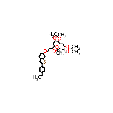 C=C(C)C(=O)OCCCC1OC(C)(C)OC1CC1OC(C)(C)OC1CCOc1ccc2cc(-c3ccc(CC)cc3)sc2c1